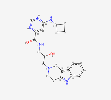 O=C(NCC(O)CN1CCc2[nH]c3ccccc3c2C1)c1cc(NC2CCC2)ncn1